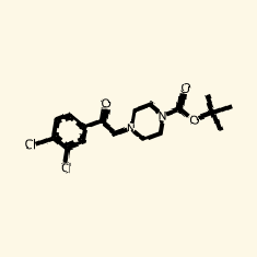 CC(C)(C)OC(=O)N1CCN(CC(=O)c2ccc(Cl)c(Cl)c2)CC1